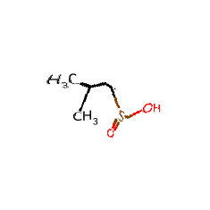 CC(C)[CH]S(=O)O